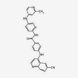 Cc1cc(Nc2ccc(NC(=O)c3ccc(Nc4ccnc5ccc(C#N)cc45)cc3)nc2)ccn1